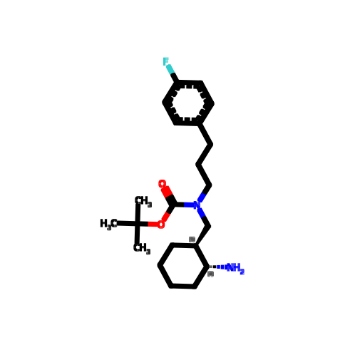 CC(C)(C)OC(=O)N(CCCc1ccc(F)cc1)C[C@@H]1CCCC[C@H]1N